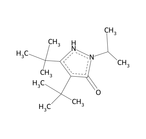 CC(C)n1[nH]c(C(C)(C)C)c(C(C)(C)C)c1=O